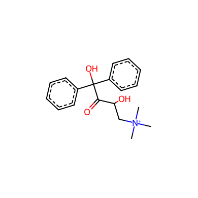 C[N+](C)(C)CC(O)C(=O)C(O)(c1ccccc1)c1ccccc1